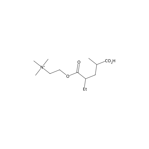 CCC(CC(C)C(=O)O)C(=O)OCC[N+](C)(C)C